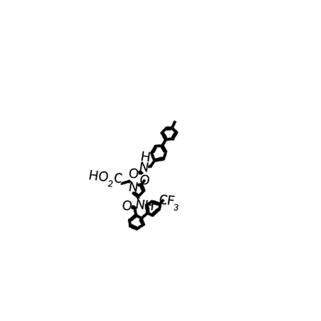 Cc1ccc(-c2ccc(CNC(=O)Oc3cc(NC(=O)c4ccccc4-c4ccc(C(F)(F)F)cc4)cn3CCC(=O)O)cc2)cc1